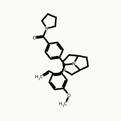 C=CCN1CCC2CCC(C1)N2C(c1ccc(C(=O)N2CCCC2)cc1)c1cccc(OC)c1